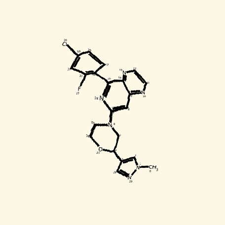 Cn1cc(C2CN(c3cc4nccnc4c(-c4ccc(Cl)cc4F)n3)CCO2)cn1